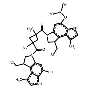 CCC1(C(=O)N2CC(CCl)c3c2cc(O)c2[nH]cc(C)c32)CC(C)(C(=O)N2CC(CCl)c3c2cc(OP(O)O)c2[nH]cc(C)c32)C1